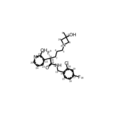 CC1(O)CN(CCC[C@@](F)(C(=O)NCc2ccc(F)cc2Cl)c2cccnc2O)C1